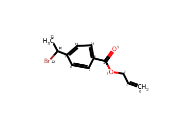 C=CCOC(=O)c1ccc(C(C)Br)cc1